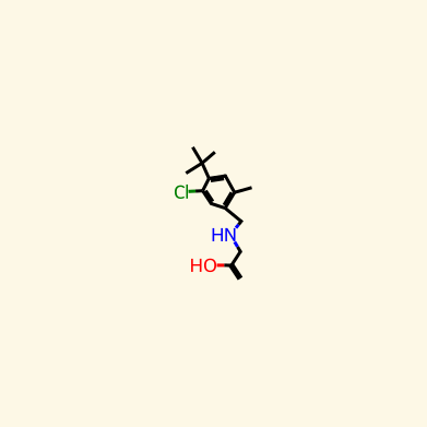 C=C(O)CNCc1cc(Cl)c(C(C)(C)C)cc1C